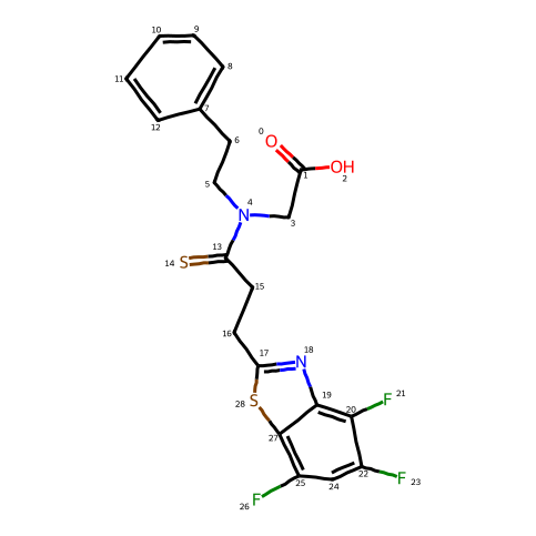 O=C(O)CN(CCc1ccccc1)C(=S)CCc1nc2c(F)c(F)cc(F)c2s1